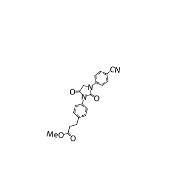 COC(=O)CCc1ccc(N2C(=O)CN(c3ccc(C#N)cc3)C2=O)cc1